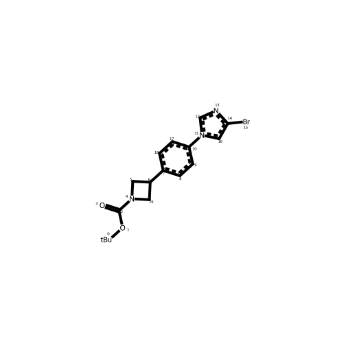 CC(C)(C)OC(=O)N1CC(c2ccc(-n3cnc(Br)c3)cc2)C1